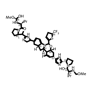 COCN[C@@H](C(C)C)[C@H](O)N1CCC[C@H]1c1ncc([C@@H]2C=C(F)C3[C@@H](C2)OC(C2=CC[C@H](C(F)(F)F)S2)N2C4=CC=C(C5CN=C(C(C)[C@@]6(C)CCCN6C(=O)[C@@H](N[C@H](O)OC)C(C)C)N5)C[C@H]4C[C@@H]32)[nH]1